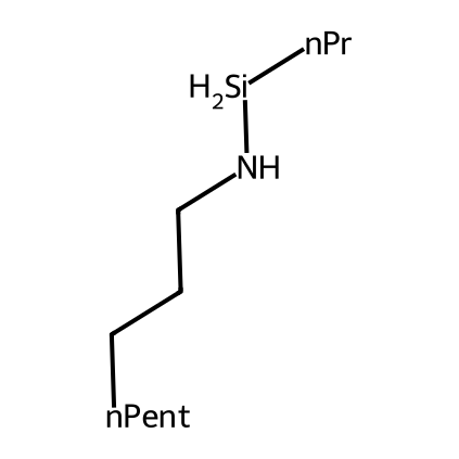 CCCCCCCCN[SiH2]CCC